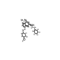 COc1ccc(CCn2cnc3c(N)nc(NCCc4ccccc4)nc32)cc1